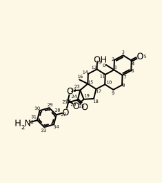 CC12C=CC(=O)C=C1CCC1C2C(O)CC2(C)C1CC1OCOC12C(=O)COc1ccc(N)cc1